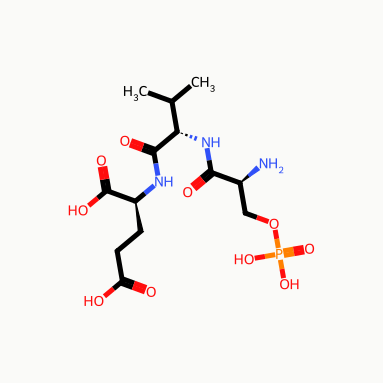 CC(C)[C@H](NC(=O)[C@@H](N)COP(=O)(O)O)C(=O)N[C@@H](CCC(=O)O)C(=O)O